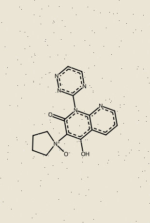 O=c1c([N+]2([O-])CCCC2)c(O)c2cccnc2n1-c1nccnn1